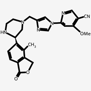 COc1cc(-n2cnc(CN3CCN[C@H](c4ccc5c(c4C)COC5=O)C3)c2)ncc1C#N